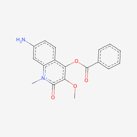 COc1c(OC(=O)c2ccccc2)c2ccc(N)cc2n(C)c1=O